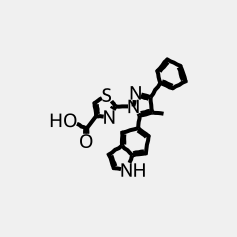 Cc1c(-c2ccccc2)nn(-c2nc(C(=O)O)cs2)c1-c1ccc2[nH]ccc2c1